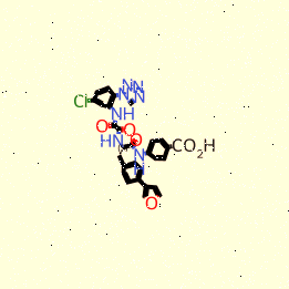 O=C(Nc1cc(Cl)ccc1-n1cnnn1)C(=O)N[C@@H](Cc1ccc(-c2ccoc2)cc1)C(=O)Nc1ccc(C(=O)O)cc1